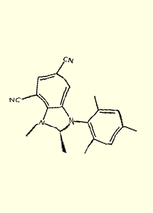 Cc1cc(C)c(N2c3cc(C#N)cc(C#N)c3N(C)[C@@H]2C)c(C)c1